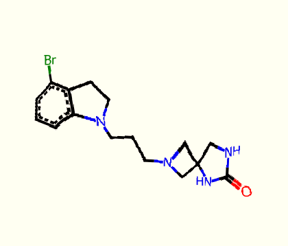 O=C1NCC2(CN(CCCN3CCc4c(Br)cccc43)C2)N1